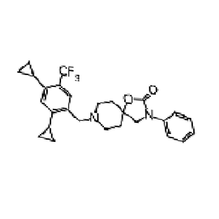 O=C1OC2(CCN(Cc3cc(C(F)(F)F)c(C4CC4)cc3C3CC3)CC2)CN1c1ccccc1